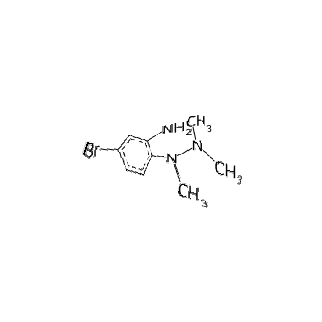 CN(C)N(C)c1ccc(Br)cc1N